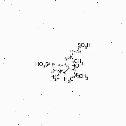 CN(CCC[N+](C)(CCC(O)N(C)C)CCS(=O)(=O)O)CCS(=O)(=O)O